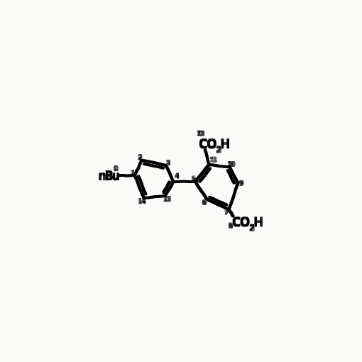 CCCCc1ccc(-c2cc(C(=O)O)ccc2C(=O)O)cc1